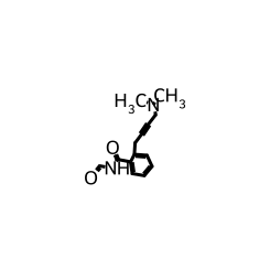 CN(C)CC#CCc1ccccc1C(=O)NC=O